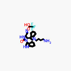 N#Cc1[nH]c(=O)n(-c2c[nH]c3ccccc23)c1-c1cn(CCCCN)c2ccccc12.O=C(O)C(F)(F)F